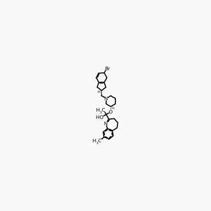 Cc1ccc2c(c1)N=C(C(C)(O)O[C@H]1CCCN(C[C@H]3CC4=C(CC(Br)C=C4)C3)C1)CCC2